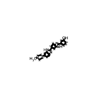 CN1CCN(c2ccc3nc(-c4ccc5nc(-c6cccc(O)c6)[nH]c5c4)[nH]c3c2)CC1